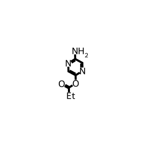 CCC(=O)Oc1cnc(N)cn1